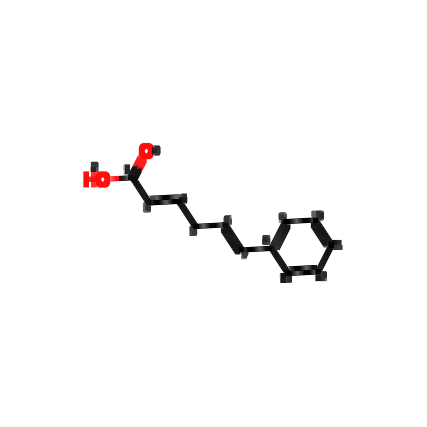 O=C(O)C=CCC=Cc1ccccc1